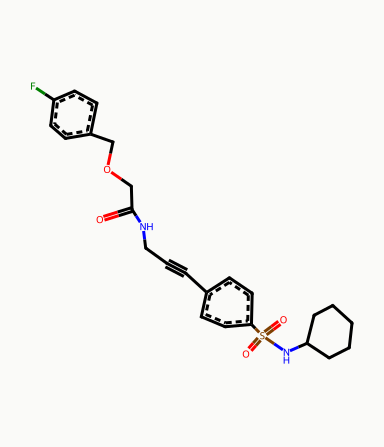 O=C(COCc1ccc(F)cc1)NCC#Cc1ccc(S(=O)(=O)NC2CCCCC2)cc1